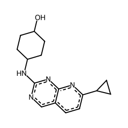 OC1CCC(Nc2ncc3ccc(C4CC4)nc3n2)CC1